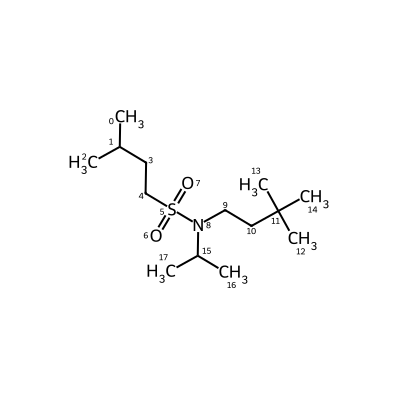 CC(C)CCS(=O)(=O)N(CCC(C)(C)C)C(C)C